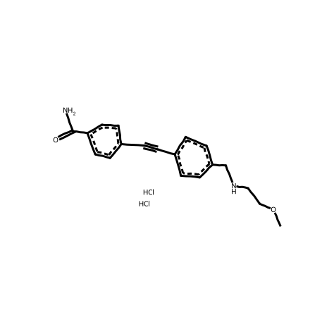 COCCNCc1ccc(C#Cc2ccc(C(N)=O)cc2)cc1.Cl.Cl